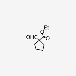 CCOC(=O)C1(C=O)CCCC1